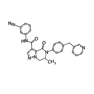 CC1Cn2ncc(C(=O)Nc3cccc(C#N)c3)c2C(=O)N1c1ccc(Cc2cccnc2)cc1